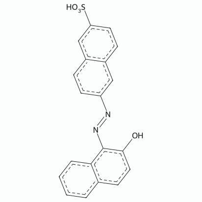 O=S(=O)(O)c1ccc2cc(/N=N/c3c(O)ccc4ccccc34)ccc2c1